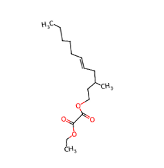 CCCCCC=CCC(C)CCOC(=O)C(=O)OCC